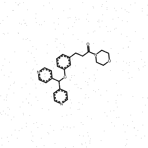 O=C(CCc1cccc(OC(c2ccncc2)c2ccncc2)c1)N1CCOCC1